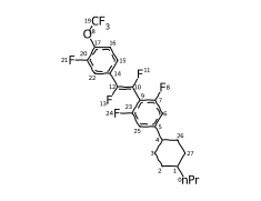 CCCC1CCC(c2cc(F)c(/C(F)=C(\F)c3ccc(OC(F)(F)F)c(F)c3)c(F)c2)CC1